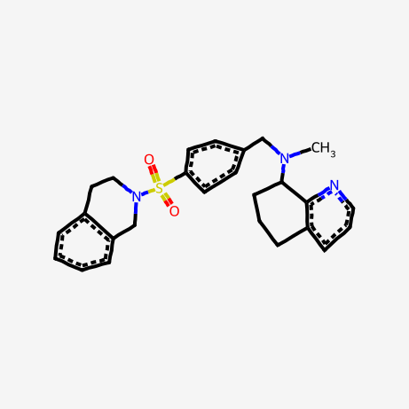 CN(Cc1ccc(S(=O)(=O)N2CCc3ccccc3C2)cc1)C1CCCc2cccnc21